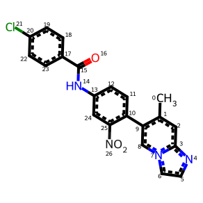 Cc1cc2nccn2cc1-c1ccc(NC(=O)c2ccc(Cl)cc2)cc1[N+](=O)[O-]